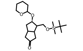 CC(C)(C)[Si](C)(C)OCC1C2CC(=O)CC2C[C@H]1OC1CCCCO1